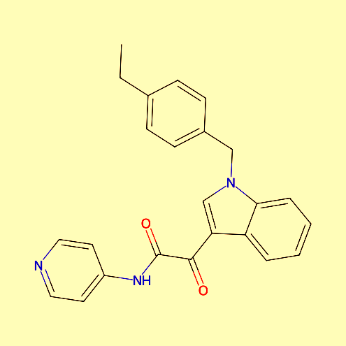 CCc1ccc(Cn2cc(C(=O)C(=O)Nc3ccncc3)c3ccccc32)cc1